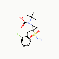 CC(C)(C)N(C(=O)O)C1CC1(Cc1ccccc1F)S(N)(=O)=O